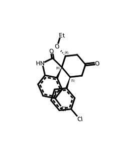 CCO[C@@H]1CC(=O)C[C@@H](c2cccc(Cl)c2)[C@]12C(=O)Nc1ccc(Cl)cc12